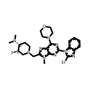 CCc1nc2ccccc2n1-c1nc(N2CCOCC2)c2nc(CN3CC[C@@H](N(C)C)[C@H](F)C3)n(C)c2n1